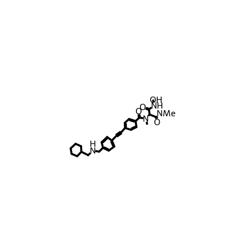 CNC(=O)C(C(=O)NO)N(C)C(=O)c1ccc(C#Cc2ccc(CNCC3CCCCC3)cc2)cc1